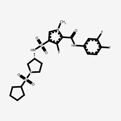 Cn1cc(S(=O)(=O)N[C@@H]2CCN(S(=O)(=O)C3CCCC3)C2)c(F)c1C(=O)Nc1ccc(F)c(F)c1